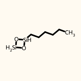 CCCCCC[SiH]1O[SiH2]O1